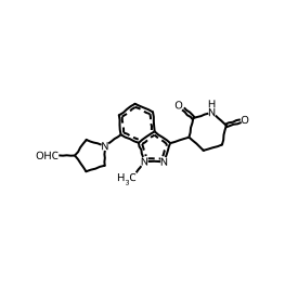 Cn1nc(C2CCC(=O)NC2=O)c2cccc(N3CCC(C=O)C3)c21